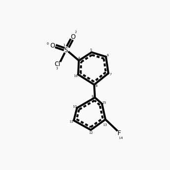 O=S(=O)(Cl)c1cccc(-c2cccc(F)c2)c1